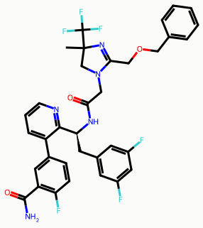 CC1(C(F)(F)F)CN(CC(=O)N[C@@H](Cc2cc(F)cc(F)c2)c2ncccc2-c2ccc(F)c(C(N)=O)c2)C(COCc2ccccc2)=N1